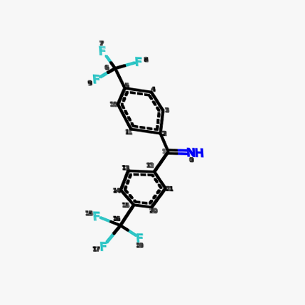 N=C(c1ccc(C(F)(F)F)cc1)c1ccc(C(F)(F)F)cc1